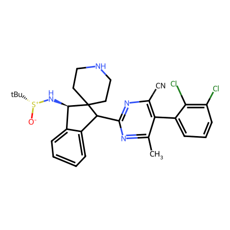 Cc1nc(C2c3ccccc3[C@@H](N[S@+]([O-])C(C)(C)C)C23CCNCC3)nc(C#N)c1-c1cccc(Cl)c1Cl